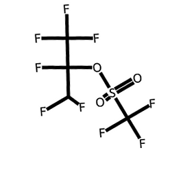 O=S(=O)(OC(F)(C(F)F)C(F)(F)F)C(F)(F)F